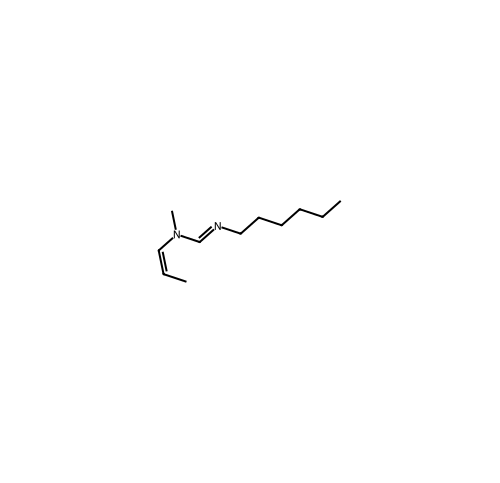 C/C=C\N(C)/C=N/CCCCCC